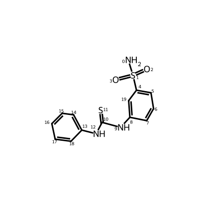 NS(=O)(=O)c1cccc(NC(=S)Nc2ccccc2)c1